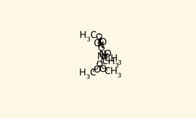 CCOc1ccc(C2=NN(C3CCN(S(=O)(=O)c4cccc(C)c4)CC3)C(=O)C2(C)C)cc1OCC